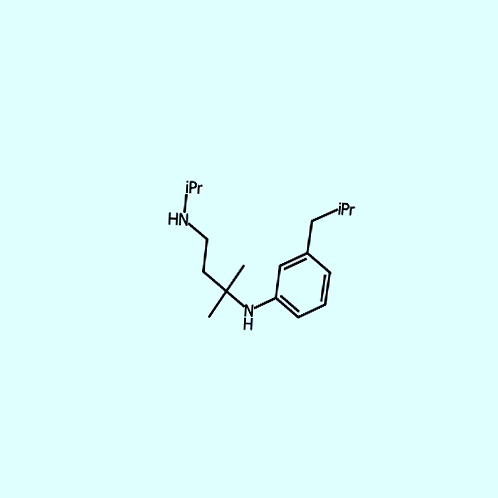 CC(C)Cc1cccc(NC(C)(C)CCNC(C)C)c1